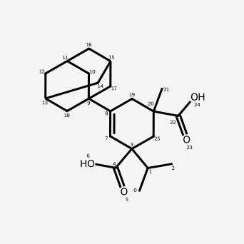 CC(C)C1(C(=O)O)C=C(C23CC4CC(CC(C4)C2)C3)CC(C)(C(=O)O)C1